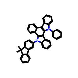 CC1(C)c2ccccc2-c2cc(-n3c4ccccc4c4c3c3ccccc3c3c5ccccc5n(-c5ccccc5)c34)ccc21